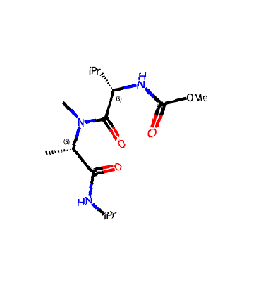 COC(=O)N[C@H](C(=O)N(C)[C@@H](C)C(=O)NC(C)C)C(C)C